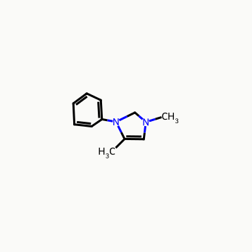 CC1=CN(C)CN1c1ccccc1